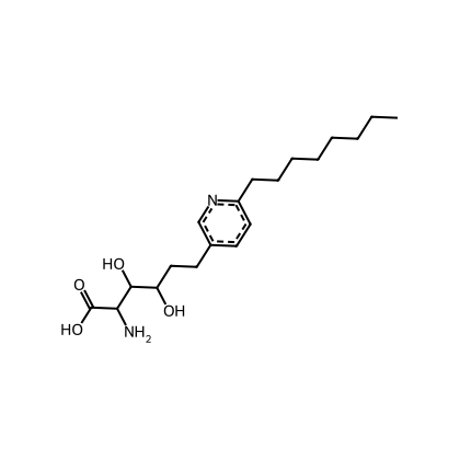 CCCCCCCCc1ccc(CCC(O)C(O)C(N)C(=O)O)cn1